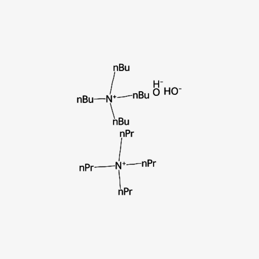 CCCC[N+](CCCC)(CCCC)CCCC.CCC[N+](CCC)(CCC)CCC.[OH-].[OH-]